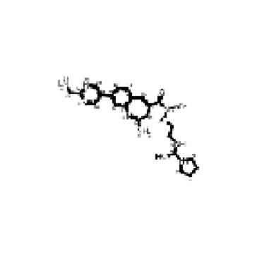 CCCN(OCCNC(O)N1CCCC1)C(=O)C1=Cc2ccc(-c3cnc(CN)nc3)cc2N=C(N)C1